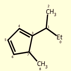 CCC(C)C1=CC=C[C]1C